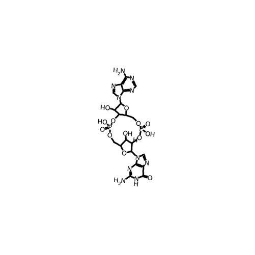 Nc1nc2c(ncn2C2OC3COP(=O)(O)OC4C(COP(=O)(O)O[C@@H]2C3O)OC(n2cnc3c(N)ncnc32)C4O)c(=O)[nH]1